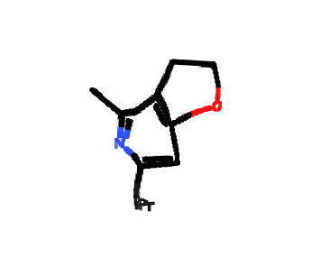 Cc1nc(C(C)C)cc2c1CCO2